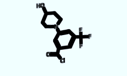 O=C(Cl)c1cc(N2CCC(O)CC2)cc(C(F)(F)F)c1